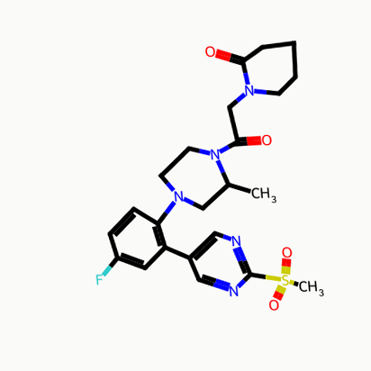 CC1CN(c2ccc(F)cc2-c2cnc(S(C)(=O)=O)nc2)CCN1C(=O)CN1CCCCC1=O